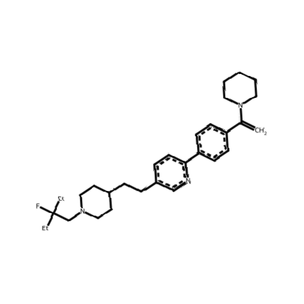 C=C(c1ccc(-c2ccc(CCC3CCN(CC(F)(CC)CC)CC3)cn2)cc1)N1CCCCC1